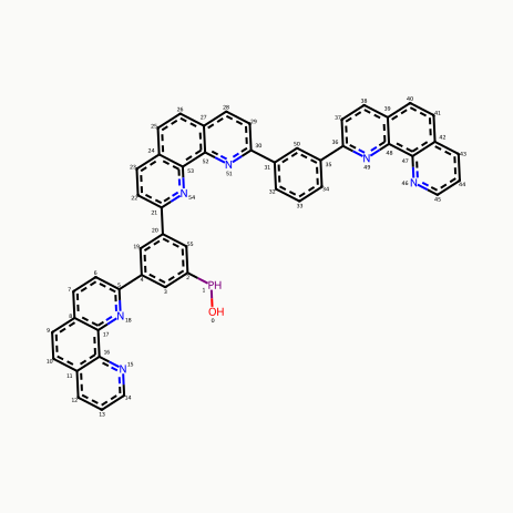 OPc1cc(-c2ccc3ccc4cccnc4c3n2)cc(-c2ccc3ccc4ccc(-c5cccc(-c6ccc7ccc8cccnc8c7n6)c5)nc4c3n2)c1